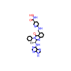 CC[C@H](Nc1ncnc2[nH]cnc12)c1nc2cccc(CNc3ccc(C(=O)NO)cn3)c2c(=O)n1-c1ccccc1